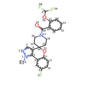 CCn1ncc2c1-c1cc(F)ccc1OC21CCN(C(=O)c2ccccc2OC(F)F)CC1